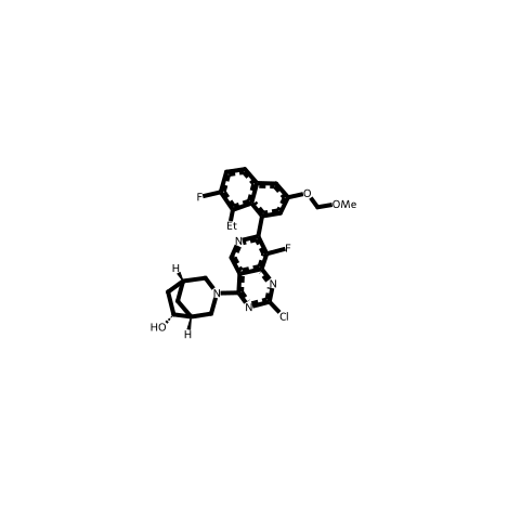 CCc1c(F)ccc2cc(OCOC)cc(-c3ncc4c(N5C[C@@H]6C[C@H](C5)[C@H](O)C6)nc(Cl)nc4c3F)c12